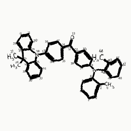 Cc1ccccc1N(c1ccc(C(=O)c2ccc(N3c4ccccc4C(C)(C)c4ccccc43)cc2)cc1)c1ccccc1C